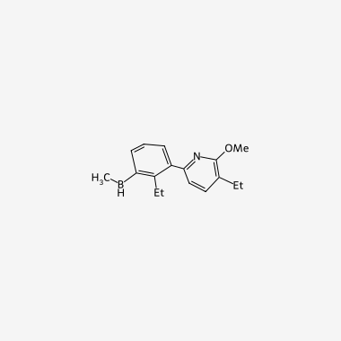 CBc1cccc(-c2ccc(CC)c(OC)n2)c1CC